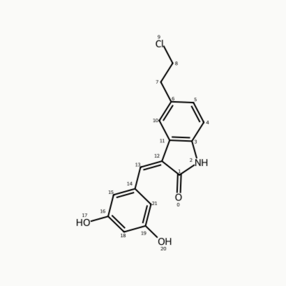 O=C1Nc2ccc(CCCl)cc2C1=Cc1cc(O)cc(O)c1